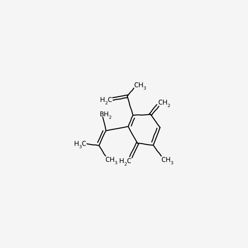 BC(=C(C)C)c1c(C(=C)C)c(=C)cc(C)c1=C